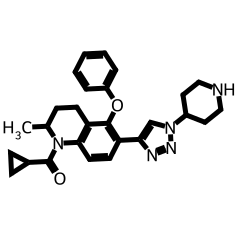 CC1CCc2c(ccc(-c3cn(C4CCNCC4)nn3)c2Oc2ccccc2)N1C(=O)C1CC1